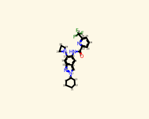 O=C(Nc1cc2cn(C3CCCCC3)nc2cc1N1CCC1)c1cccc(C(F)(F)F)n1